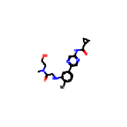 CN(CCO)C(=O)CNc1cc(-c2cnc(NC(=O)C3CC3)cn2)ccc1C#N